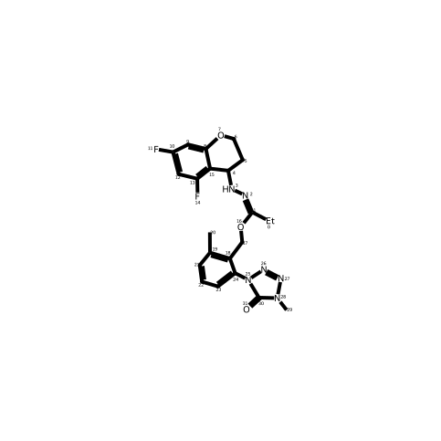 CCC(=NNC1CCOc2cc(F)cc(F)c21)OCc1c(C)cccc1-n1nnn(C)c1=O